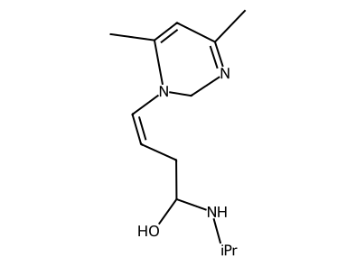 CC1=CC(C)=NCN1/C=C\CC(O)NC(C)C